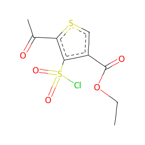 CCOC(=O)c1csc(C(C)=O)c1S(=O)(=O)Cl